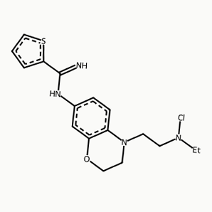 CCN(Cl)CCN1CCOc2cc(NC(=N)c3cccs3)ccc21